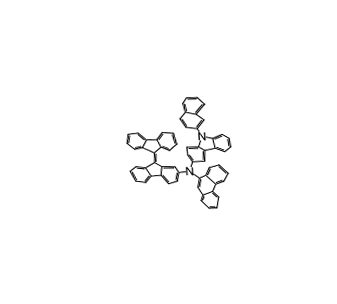 c1ccc2c(c1)C(=C1c3ccccc3-c3ccc(N(c4ccc5c(c4)c4ccccc4n5-c4ccc5ccccc5c4)c4cc5ccccc5c5ccccc45)cc31)c1ccccc1-2